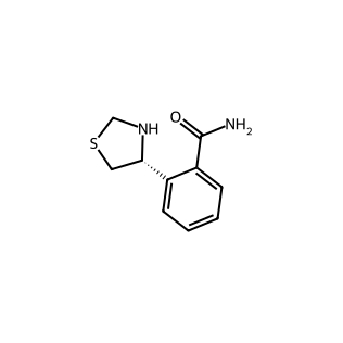 NC(=O)c1ccccc1[C@@H]1CSCN1